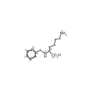 NCCCC[C@H](NCc1ccccn1)C(=O)O